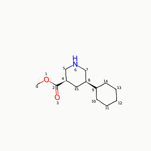 COC(=O)[C@H]1CNC[C@@H](C2CCCCC2)C1